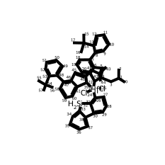 CC(C)CC1=Cc2c(-c3ccccc3C(C)(C)C)cccc2[CH]1[Hf]([Cl])([Cl])([c]1cccc2c1[SiH2]c1ccccc1-2)[CH]1C(CC(C)C)=Cc2c(-c3ccccc3C(C)(C)C)cccc21